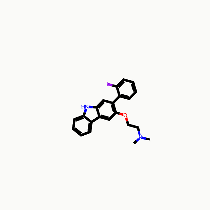 CN(C)CCOc1cc2c(cc1-c1ccccc1I)[nH]c1ccccc12